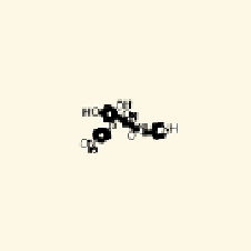 O=C(NCC1CCNCC1)c1cc(-c2c(O)cc(O)cc2Oc2ccc([N+](=O)[O-])cc2)on1